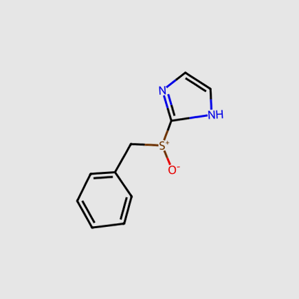 [O-][S+](Cc1ccccc1)c1ncc[nH]1